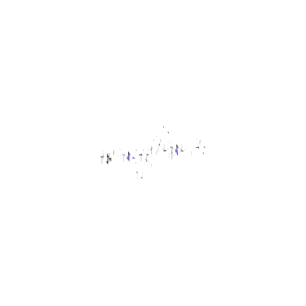 CCCCC(CC)CN(CC(CC)CCCC)C(=O)c1cccc(/N=N/c2c(C)c(C#N)c(=O)n(-c3ccc(-n4c(O)c(/N=N/c5cccc(S(=O)(=O)N(CC(CC)CCCC)CC(CC)CCCC)c5)c(C)c(C#N)c4=O)cc3)c2O)c1